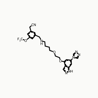 N#CCc1cc(CNCCCCOCCOc2cc(-n3cnnc3)cc3[nH]ncc23)cc(OC(F)(F)F)c1